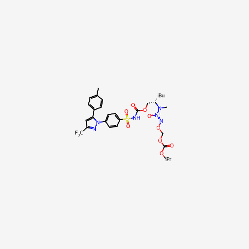 CC[C@@H](C)[C@@H](COC(=O)NS(=O)(=O)c1ccc(-n2nc(C(F)(F)F)cc2-c2ccc(C)cc2)cc1)N(C)/[N+]([O-])=N/OCOC(=O)OC(C)C